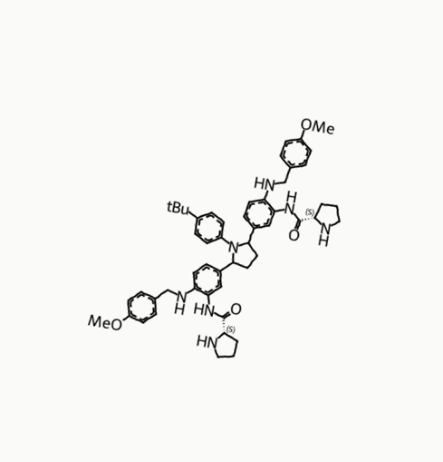 COc1ccc(CNc2ccc(C3CCC(c4ccc(NCc5ccc(OC)cc5)c(NC(=O)[C@@H]5CCCN5)c4)N3c3ccc(C(C)(C)C)cc3)cc2NC(=O)[C@@H]2CCCN2)cc1